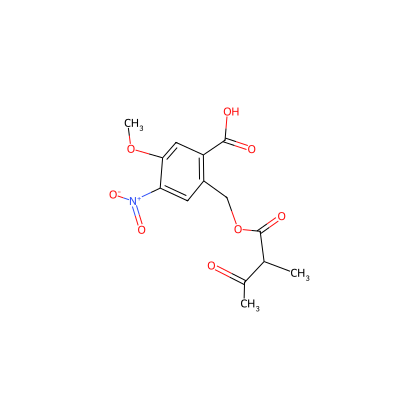 COc1cc(C(=O)O)c(COC(=O)C(C)C(C)=O)cc1[N+](=O)[O-]